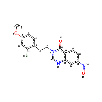 COc1ccc(CCn2cnc3cc(N=O)ccc3c2=O)c(F)c1